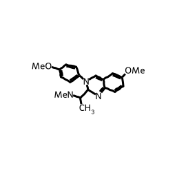 CNC(C)C1N=c2ccc(OC)cc2=CN1c1ccc(OC)cc1